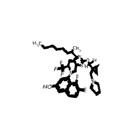 [2H]C([2H])(Oc1nc(C(C)CCCCCC)c2c(n1)=CN(c1cc(O)cc3ccc(F)c(F)c13)C(C(F)(F)F)C=2)C1(CN2CCCC2)CC1